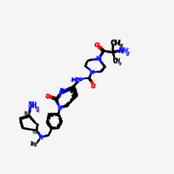 CCN(Cc1ccc(-n2ccc(NC(=O)N3CCN(C(=O)C(C)(C)N)CC3)nc2=O)cc1)[C@H]1CC[C@@H](N)C1